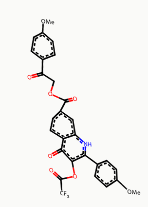 COc1ccc(C(=O)COC(=O)c2ccc3c(=O)c(OC(=O)C(F)(F)F)c(-c4ccc(OC)cc4)[nH]c3c2)cc1